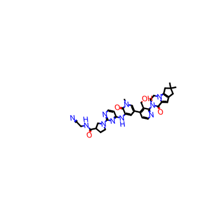 Cn1cc(-c2ccnc(N3CCn4c(cc5c4CC(C)(C)C5)C3=O)c2CO)cc(Nc2ccnc(N3CCC(C(=O)NCC#N)C3)n2)c1=O